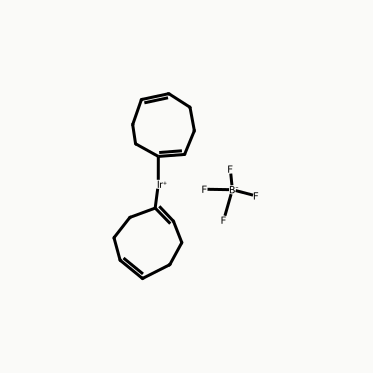 C1=C\CC/[C]([Ir+]/[C]2=C/CC/C=C\CC2)=C\CC/1.F[B-](F)(F)F